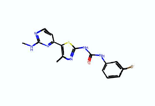 CNc1nccc(-c2sc(NC(=O)Nc3cccc(Br)c3)nc2C)n1